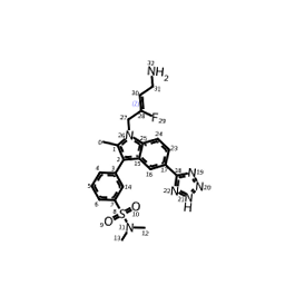 Cc1c(-c2cccc(S(=O)(=O)N(C)C)c2)c2cc(-c3nn[nH]n3)ccc2n1C/C(F)=C/CN